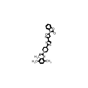 CO/C(=N\c1cc(C)ccc1C)N1CCC(c2nc(C3=NOC(n4c(=O)oc5ccccc54)C3)cs2)CC1